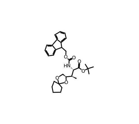 C[C@@H]([C@@H]1COC2(CCCCC2)O1)[C@H](NC(=O)OCC1c2ccccc2-c2ccccc21)C(=O)OC(C)(C)C